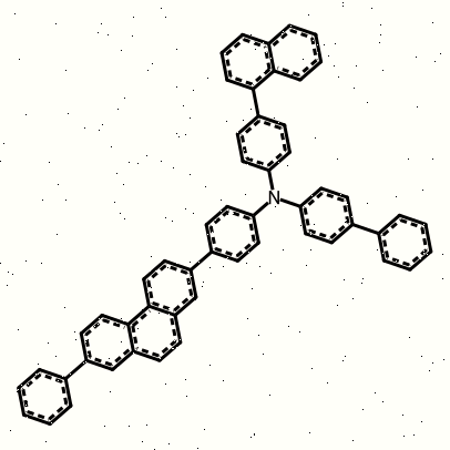 c1ccc(-c2ccc(N(c3ccc(-c4ccc5c(ccc6cc(-c7ccccc7)ccc65)c4)cc3)c3ccc(-c4cccc5ccccc45)cc3)cc2)cc1